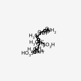 CCCN1/C(=C/C=C/C=C/C2=[N+](CCCS(=O)(=O)O)c3ccc(CN(C)CCCC(=O)NCc4ccc(S(N)(=O)=O)cc4)cc3C2(C)C)C(C)(C)c2cc(S(=O)(=O)O)ccc21